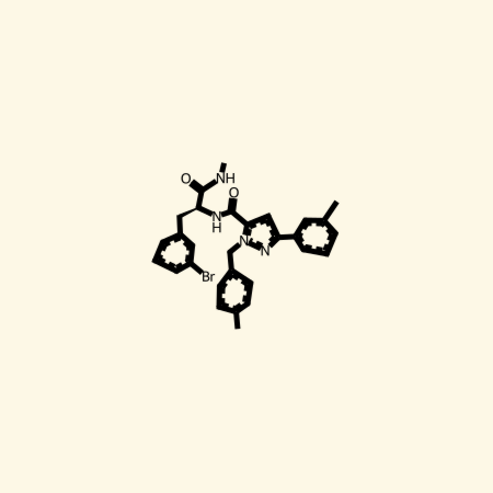 CNC(=O)[C@H](Cc1cccc(Br)c1)NC(=O)c1cc(-c2cccc(C)c2)nn1Cc1ccc(C)cc1